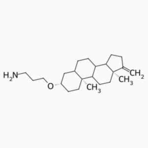 C=C1CCC2C3CCC4C[C@@H](OCCCN)CC[C@]4(C)C3CC[C@]12C